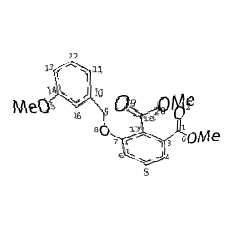 COC(=O)c1cccc(OCc2cccc(OC)c2)c1C(=O)OC